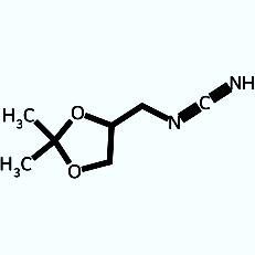 CC1(C)OCC(CN=C=N)O1